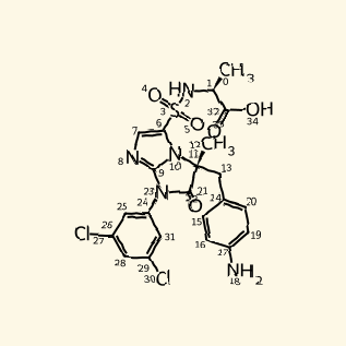 C[C@H](NS(=O)(=O)c1cnc2n1[C@](C)(Cc1ccc(N)cc1)C(=O)N2c1cc(Cl)cc(Cl)c1)C(=O)O